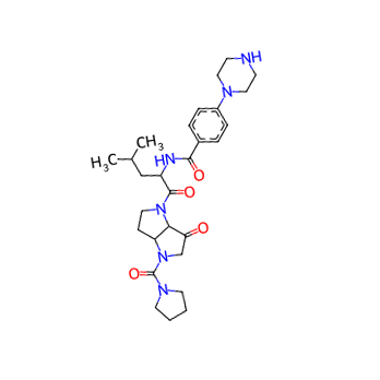 CC(C)CC(NC(=O)c1ccc(N2CCNCC2)cc1)C(=O)N1CCC2C1C(=O)CN2C(=O)N1CCCC1